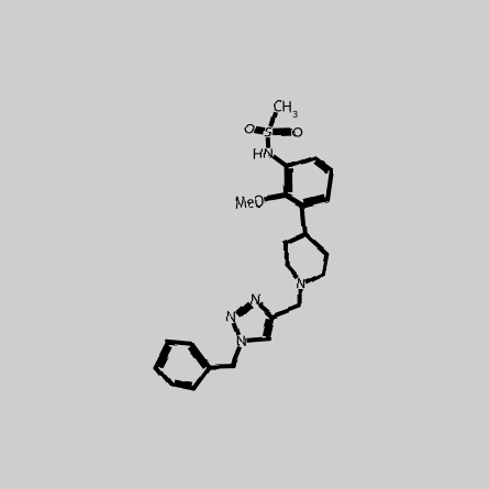 COc1c(NS(C)(=O)=O)cccc1C1CCN(Cc2cn(Cc3ccccc3)nn2)CC1